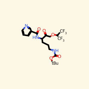 CC(C)(C)OC(=O)NCCCC(NC(=O)c1cccnc1)C(=O)COC(C(F)(F)F)C(F)(F)F